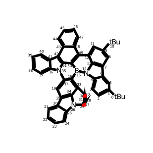 CC(C)(C)c1ccc2c(c1)c1cc(C(C)(C)C)cc3c1n2B1c2c(cc4c5ccccc5n5c6ccccc6c2c45)-n2c4ccccc4c4c5ccccc5c-3c1c42